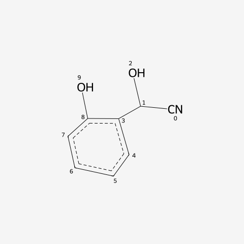 N#CC(O)c1ccccc1O